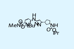 CNS(=O)(=O)c1ccc(Nc2cc([C@H]3CC[C@@H](NC(=O)OC(C)C)C3)nn2C(C)(C)C)cn1